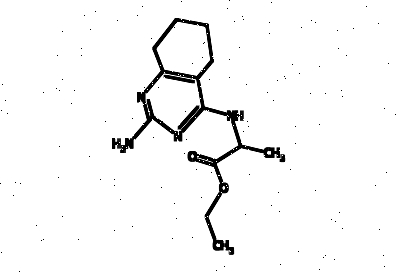 CCOC(=O)C(C)Nc1nc(N)nc2c1CCCC2